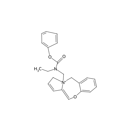 CCN(C[N+]12CC=CC1=COc1ccccc1C2)C(=O)Oc1ccccc1